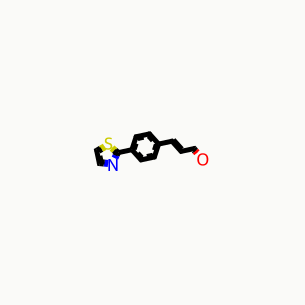 O=CC=Cc1ccc(-c2nccs2)cc1